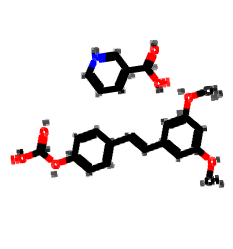 COc1cc(C=Cc2ccc(OC(=O)O)cc2)cc(OC)c1.O=C(O)c1cccnc1